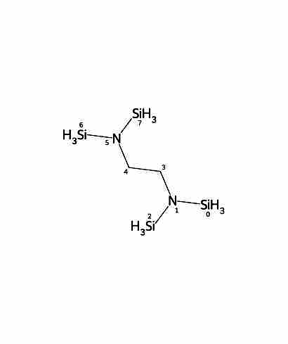 [SiH3]N([SiH3])CCN([SiH3])[SiH3]